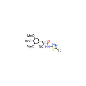 CCc1nnc(NC(=O)/C(C#N)=C/c2cc(OC)c(OC(C)=O)c(OC)c2)s1